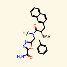 CN[C@H](Cc1ccc2ccccc2c1)C(=O)N(C)[C@H](Cc1ccccc1)c1nnc(C(N)=O)o1